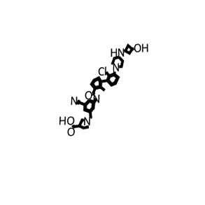 Cc1c(-c2nc3cc(CN4CCC(C(=O)O)C4)cc(C#N)c3o2)cccc1-c1cccc(N2CCC(NC3CC(O)C3)CC2)c1Cl